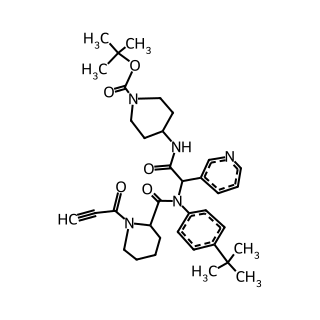 C#CC(=O)N1CCCCC1C(=O)N(c1ccc(C(C)(C)C)cc1)C(C(=O)NC1CCN(C(=O)OC(C)(C)C)CC1)c1cccnc1